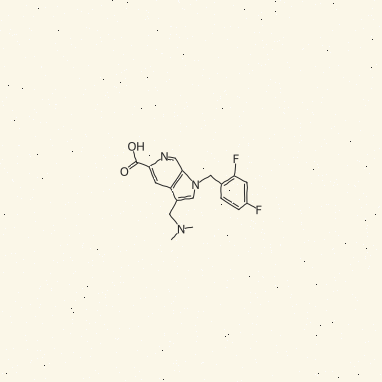 CN(C)Cc1cn(Cc2ccc(F)cc2F)c2cnc(C(=O)O)cc12